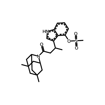 CC(CC(=O)N1C2CC3(C)CC1CC(C)(C2)C3)c1c[nH]c2cccc(OS(C)(=O)=O)c12